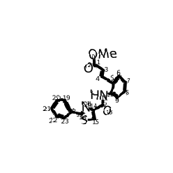 COC(=O)/C=C/c1ccccc1NC(=O)c1csc(-c2ccccc2)n1